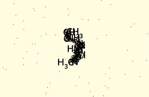 CCN(CC)C(=O)NCC#Cc1ccc2ncnc(Nc3ccc(Oc4ccc(C)nc4)c(Cl)c3)c2c1